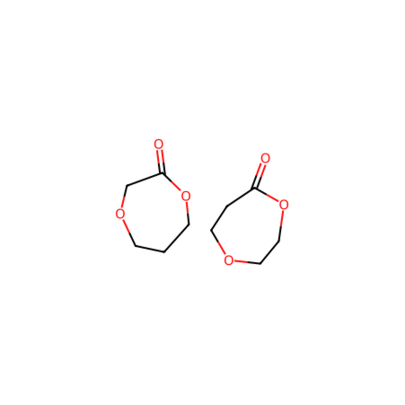 O=C1CCOCCO1.O=C1COCCCO1